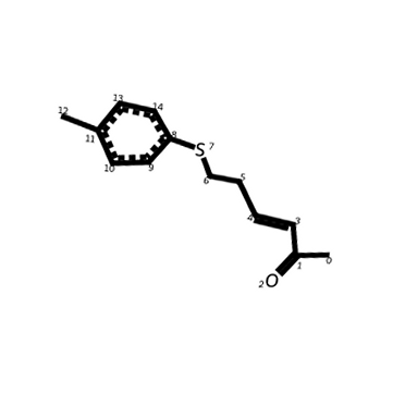 CC(=O)/C=C/CCSc1ccc(C)cc1